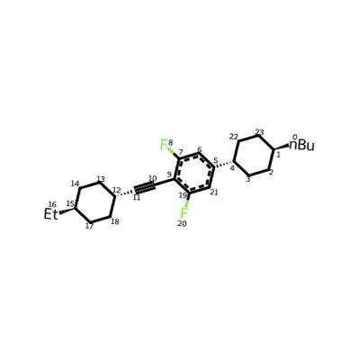 CCCC[C@H]1CC[C@H](c2cc(F)c(C#C[C@H]3CC[C@H](CC)CC3)c(F)c2)CC1